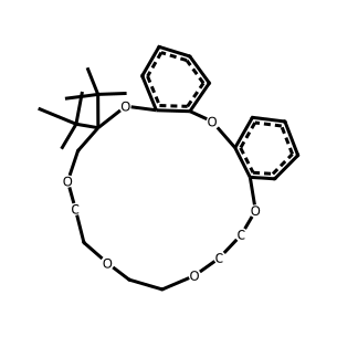 CC(C)(C)C1(C(C)(C)C)COCCOCCOCCOc2ccccc2Oc2ccccc2O1